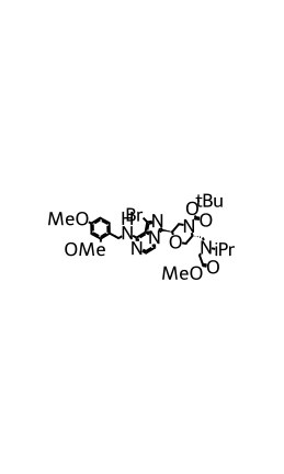 COC(=O)CN(C[C@@H]1CO[C@@H](c2nc(Br)c3c(NCc4ccc(OC)cc4OC)nccn23)CN1C(=O)OC(C)(C)C)C(C)C